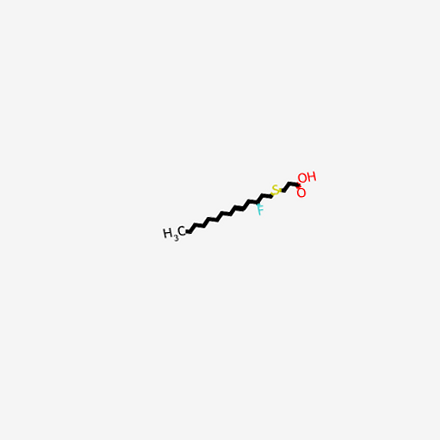 CCCCCCCC/C=C/CC(F)CCSCCC(=O)O